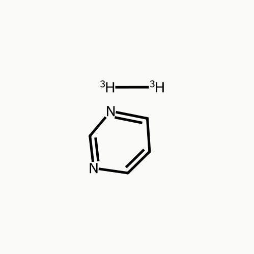 [3H][3H].c1cncnc1